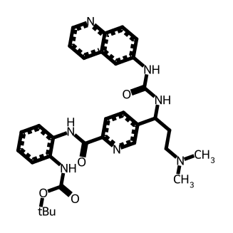 CN(C)CCC(NC(=O)Nc1ccc2ncccc2c1)c1ccc(C(=O)Nc2ccccc2NC(=O)OC(C)(C)C)nc1